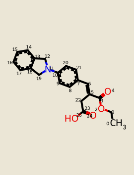 CCOC(=O)/C(=C/c1ccc(N2Cc3ccccc3C2)cc1)CC(=O)O